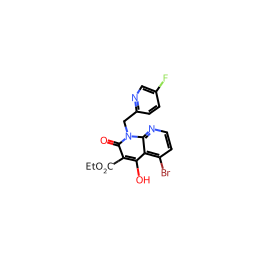 CCOC(=O)c1c(O)c2c(Br)ccnc2n(Cc2ccc(F)cn2)c1=O